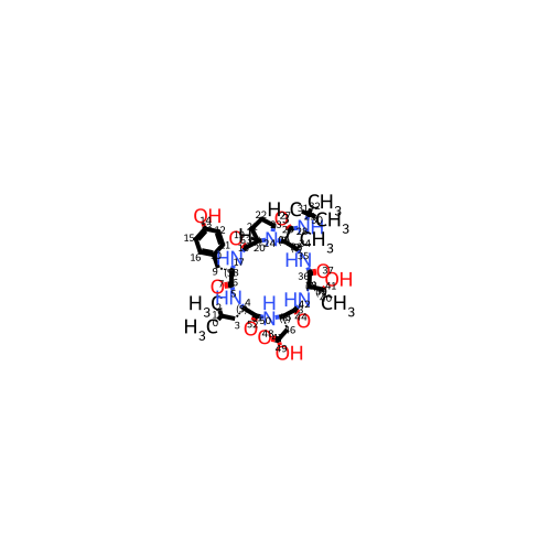 CC(C)C[C@@H]1NC(=O)[C@H](Cc2ccc(O)cc2)NC(=O)[C@@H]2CCCN2[C@@H](C(=O)NC(C)(C)C)[C@@H](C)NC(=O)[C@H]([C@@H](C)O)NC(=O)[C@H](CC(=O)O)NC1=O